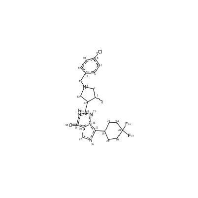 CC1CN(Cc2ccc(Cl)cc2)CC1c1nn2c(C3CCC(F)(F)CC3)ncc2c(=O)[nH]1